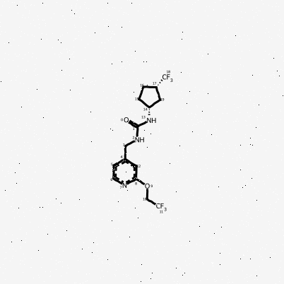 O=C(NCc1ccnc(OCC(F)(F)F)c1)N[C@@H]1CC[C@H](C(F)(F)F)C1